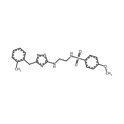 COc1ccc(S(=O)(=O)NCCNc2nc(Cc3ccccc3C)ns2)cc1